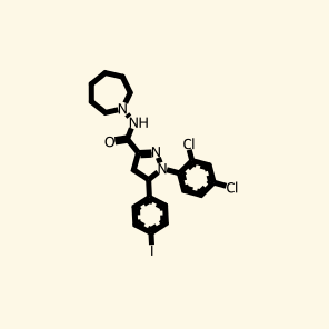 O=C(NN1CCCCCC1)C1=NN(c2ccc(Cl)cc2Cl)C(c2ccc(I)cc2)C1